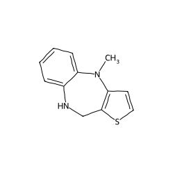 CN1c2ccccc2NCc2sccc21